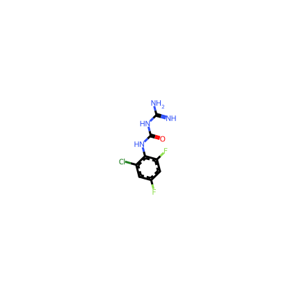 N=C(N)NC(=O)Nc1c(F)cc(F)cc1Cl